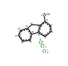 [Cl-].[Cl-].[Cl-].[Zr+3][c]1cccc2c1Cc1ccccc1-2